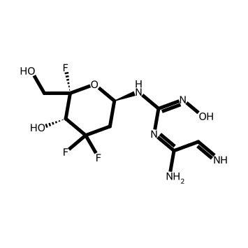 N=C/C(N)=N\C(=N/O)N[C@H]1CC(F)(F)[C@H](O)[C@@](F)(CO)O1